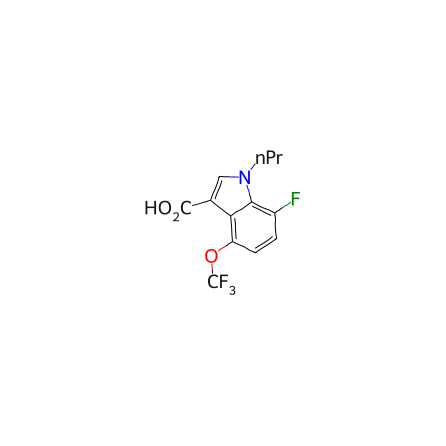 CCCn1cc(C(=O)O)c2c(OC(F)(F)F)ccc(F)c21